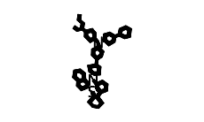 C=C/C=C(\C=C)c1ccc(N(c2ccc(-c3ccccc3)cc2)c2ccc(-c3ccc(N(c4cccc5ccccc45)c4cccc5c6c(sc45)=CCCC=6)cc3)cc2)cc1